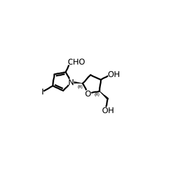 O=Cc1cc(I)cn1[C@H]1CC(O)[C@@H](CO)O1